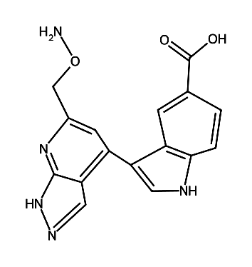 NOCc1cc(-c2c[nH]c3ccc(C(=O)O)cc23)c2cn[nH]c2n1